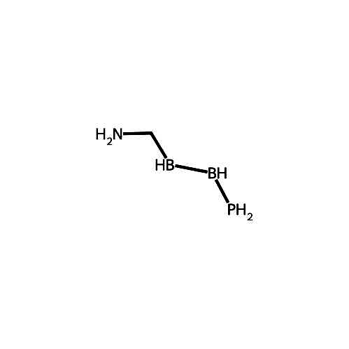 NCBBP